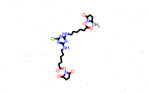 C=C1CCC(=O)N1OC(=O)CCCCCNc1nc(Cl)nc(NCCCCCC(=O)ON2C(=O)CCC2=O)n1